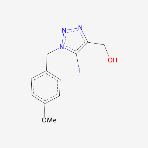 COc1ccc(Cn2nnc(CO)c2I)cc1